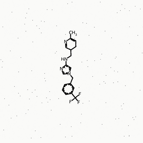 CC1=CCC(CNc2cn(Cc3cccc(C(F)(F)F)c3)cn2)C=N1